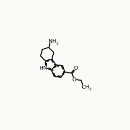 CCOC(=O)c1ccc2[nH]c3c(c2c1)CC(N)CC3